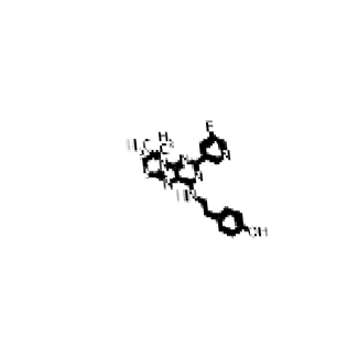 CC1(C)CSc2nc3c(NCCc4ccc(O)cc4)nc(-c4cncc(F)c4)nc3n21